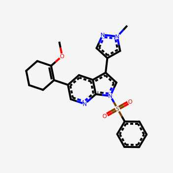 COC1=C(c2cnc3c(c2)c(-c2cnn(C)c2)cn3S(=O)(=O)c2ccccc2)CCCC1